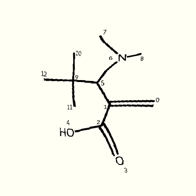 C=C(C(=O)O)C(N(C)C)C(C)(C)C